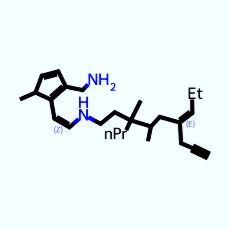 C#CC/C(=C/CC)CC(C)C(C)(CCC)CCN/C=C\C1=C(CN)C=CC1C